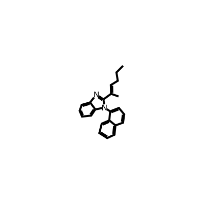 CCC/C=C(\C)c1nc2ccccc2n1-c1cccc2ccccc12